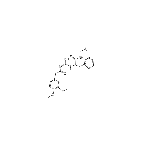 COc1ccc(CC(=O)N=C(N)NC(Cc2ccccc2)C(=O)NCC(C)C)cc1OC